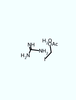 CC(=O)OCI.N=C(N)N.O